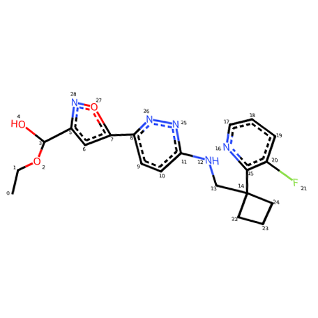 CCOC(O)c1cc(-c2ccc(NCC3(c4ncccc4F)CCC3)nn2)on1